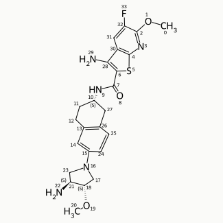 COc1nc2sc(C(=O)N[C@H]3CCc4cc(N5C[C@H](OC)[C@@H](N)C5)ccc4C3)c(N)c2cc1F